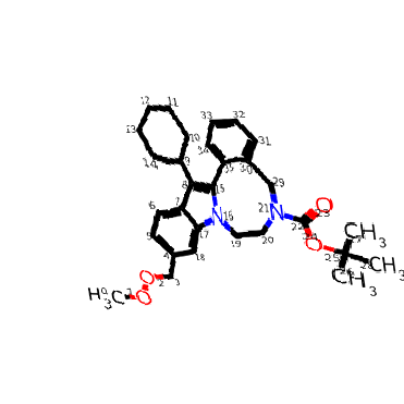 COOCc1ccc2c(C3CCCCC3)c3n(c2c1)CCN(C(=O)OC(C)(C)C)Cc1ccccc1-3